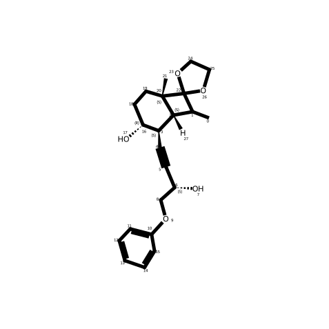 CC1[C@@H]2[C@@H](C#C[C@H](O)COc3ccccc3)[C@H](O)CC[C@]2(C)C12OCCO2